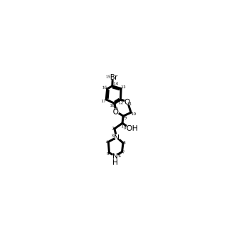 OC(CN1CCNCC1)C1COc2cc(Br)ccc2O1